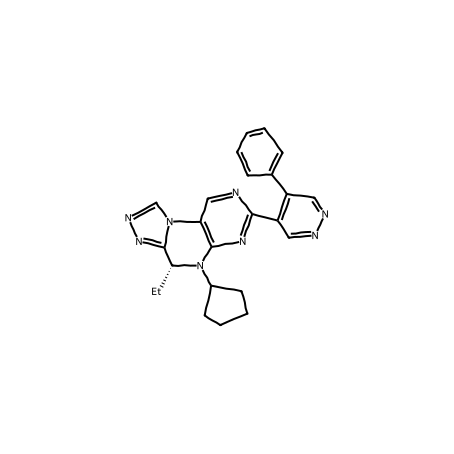 CC[C@@H]1c2nncn2-c2cnc(-c3cnncc3-c3ccccc3)nc2N1C1CCCC1